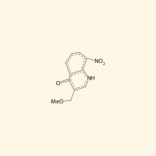 COCc1c[nH]c2c([N+](=O)[O-])cccc2c1=O